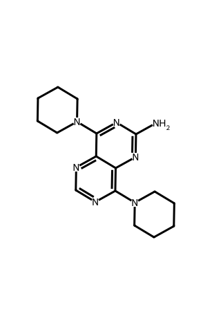 Nc1nc(N2CCCCC2)c2ncnc(N3CCCCC3)c2n1